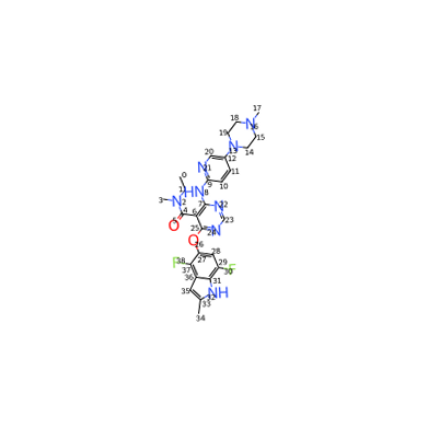 CCN(C)C(=O)c1c(Nc2ccc(N3CCN(C)CC3)cn2)ncnc1Oc1cc(F)c2[nH]c(C)cc2c1F